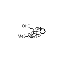 COC1(C(C)COCSC)Oc2ccccc2C1(O)C(=O)CCC=O